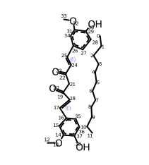 CCCCCCCCCCCC.COc1cc(/C=C/C(=O)CC(=O)/C=C/c2ccc(O)c(OC)c2)ccc1O